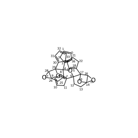 C1=CCC(C2(OC3(C4=CC=CC4)CCC45OC4C3(C3=CC=CC3)O5)CCC34OC3C2(C2=CC=CC2)O4)=C1